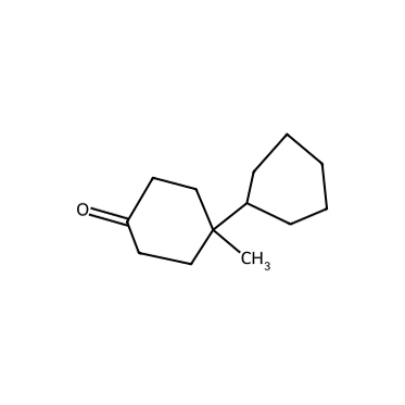 CC1(C2CCCCC2)CCC(=O)CC1